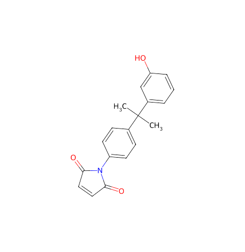 CC(C)(c1ccc(N2C(=O)C=CC2=O)cc1)c1cccc(O)c1